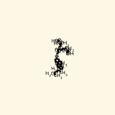 CC(C)CCCC(C)[C@H]1CC[C@H]2[C@@H]3CC=C4C[C@@H](SSCCC(=O)N(CCC(C)NC(=O)O)CCC(C)NC(=O)O)CC[C@]4(C)[C@H]3CC[C@]12C